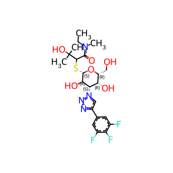 CCN(C)C(=O)C(S[C@@H]1O[C@H](CO)[C@H](O)[C@H](n2cc(-c3cc(F)c(F)c(F)c3)nn2)[C@H]1O)C(C)(C)O